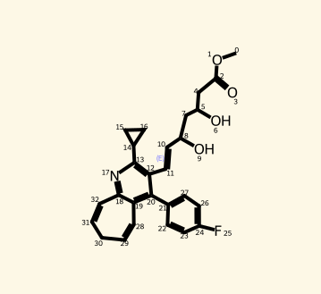 COC(=O)CC(O)CC(O)/C=C/c1c(C2CC2)nc2c(c1-c1ccc(F)cc1)C=CCC=C2